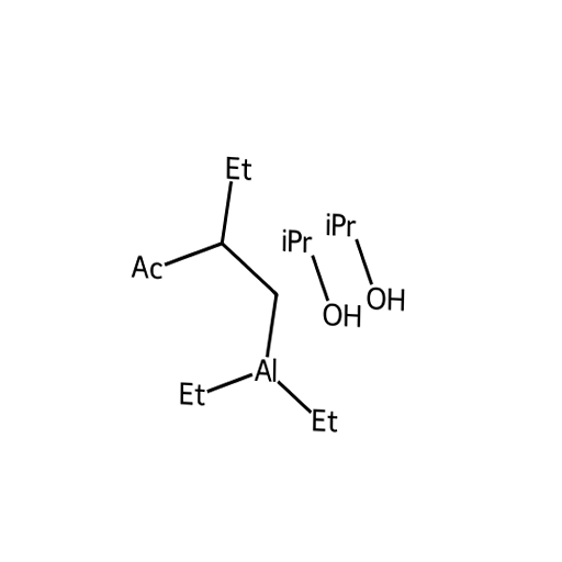 CC(C)O.CC(C)O.CCC([CH2][Al]([CH2]C)[CH2]C)C(C)=O